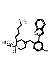 NCCCC[C@@]1(C(=O)O)CN(Cc2ccc(F)cc2-c2cc3ccccc3s2)CCP1(=O)O